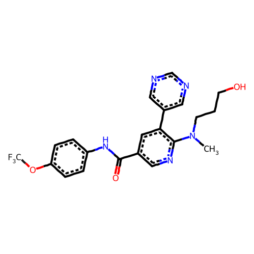 CN(CCCO)c1ncc(C(=O)Nc2ccc(OC(F)(F)F)cc2)cc1-c1cncnc1